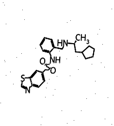 C[C@@H](CC1CCCC1)NCc1ccccc1NS(=O)(=O)c1ccc2ncsc2c1